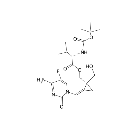 CC(C)[C@H](NC(=O)OC(C)(C)C)C(=O)OC[C@]1(CO)C/C1=C/n1cc(F)c(N)nc1=O